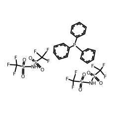 O=S(=O)(NS(=O)(=O)C(F)(F)F)C(F)(F)F.O=S(=O)(NS(=O)(=O)C(F)(F)F)C(F)(F)F.c1ccc(P(c2ccccc2)c2ccccc2)cc1